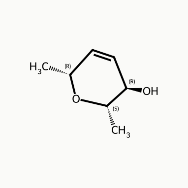 C[C@@H]1C=C[C@@H](O)[C@H](C)O1